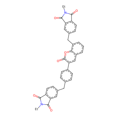 CCN1C(=O)c2ccc(Cc3ccc(-c4cc5cccc(Cc6ccc7c(c6)C(=O)N(CC)C7=O)c5oc4=O)cc3)cc2C1=O